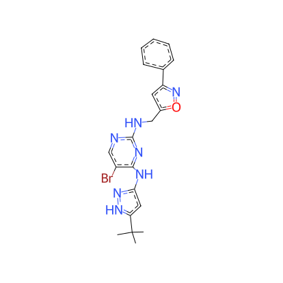 CC(C)(C)c1cc(Nc2nc(NCc3cc(-c4ccccc4)no3)ncc2Br)n[nH]1